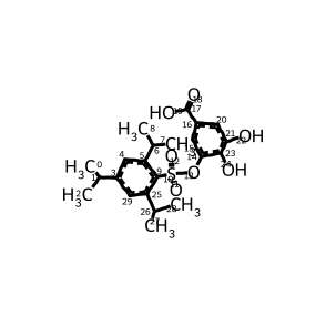 CC(C)c1cc(C(C)C)c(S(=O)(=O)Oc2cc(C(=O)O)cc(O)c2O)c(C(C)C)c1